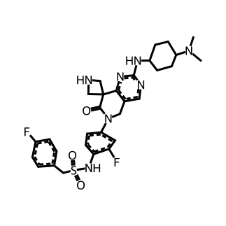 CN(C)C1CCC(Nc2ncc3c(n2)C2(CNC2)C(=O)N(c2ccc(NS(=O)(=O)Cc4ccc(F)cc4)c(F)c2)C3)CC1